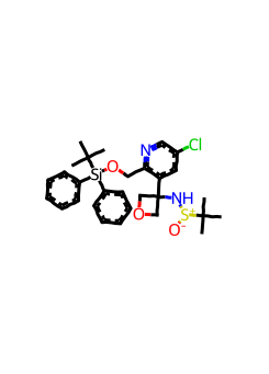 CC(C)(C)[S+]([O-])NC1(c2cc(Cl)cnc2CO[Si](c2ccccc2)(c2ccccc2)C(C)(C)C)COC1